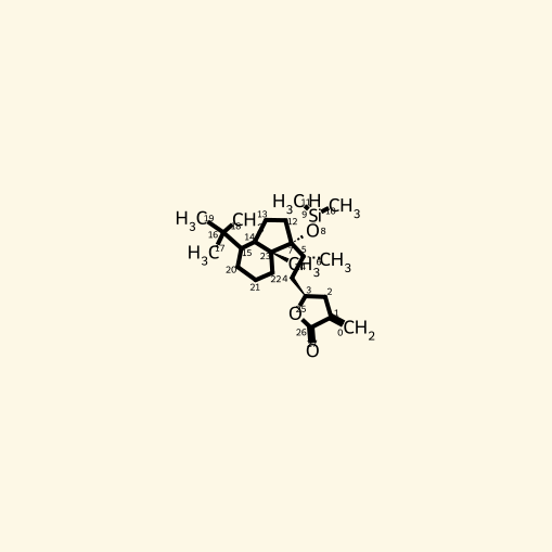 C=C1C[C@H](C[C@@H](C)[C@]2(O[SiH](C)C)CCC3C(C(C)(C)C)CCC[C@]32C)OC1=O